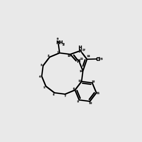 NC1CCCCCCc2ccccc2-c2nc1[nH]c2Cl